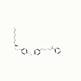 CCCCCCCc1nnn(-c2ccc(S(=O)(=O)Nc3ccc(CCNCC(O)c4cccnc4)cc3)cc2)n1